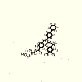 CC(NC(=O)N(Cc1ccc(C(=O)NC[C@@H](O)C(=O)O)cc1)c1ccc(C2=CCCCC2)cc1)c1ccc(Cl)c(Cl)c1